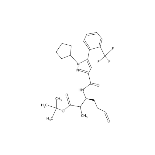 CC(C(=O)OC(C)(C)C)[C@H](CCC=O)NC(=O)c1cc(-c2ccccc2C(F)(F)F)n(C2CCCC2)n1